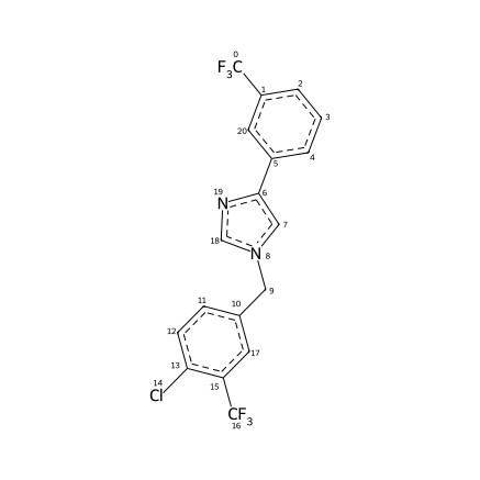 FC(F)(F)c1cccc(-c2cn(Cc3ccc(Cl)c(C(F)(F)F)c3)cn2)c1